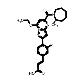 CCOc1cc(C(=O)N2CCCCC[C@H]2C)nc2cc(-c3ccc(/C=C/C(=O)O)cc3F)nn12